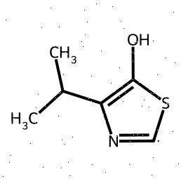 CC(C)c1n[c]sc1O